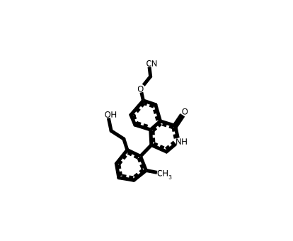 Cc1cccc(CCO)c1-c1c[nH]c(=O)c2cc(OCC#N)ccc12